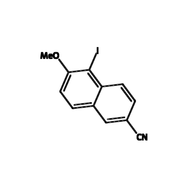 COc1ccc2cc(C#N)ccc2c1I